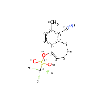 Cc1ccc2c(c1C#N)CCCC=C2OS(=O)(=O)C(F)(F)F